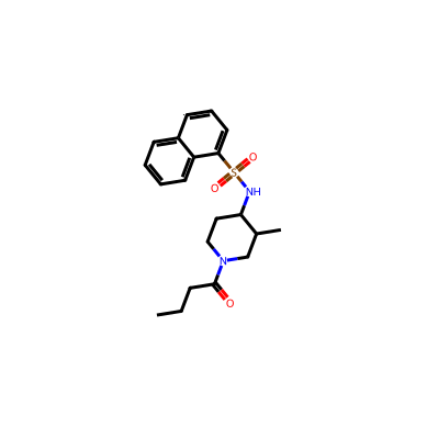 CCCC(=O)N1CCC(NS(=O)(=O)c2cc[c]c3ccccc23)C(C)C1